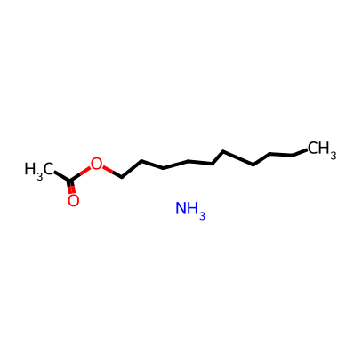 CCCCCCCCCCOC(C)=O.N